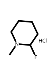 CN1CCCCC1F.Cl